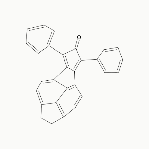 O=C1C(c2ccccc2)=C2C(=C1c1ccccc1)c1ccc3c4c(ccc2c14)CC3